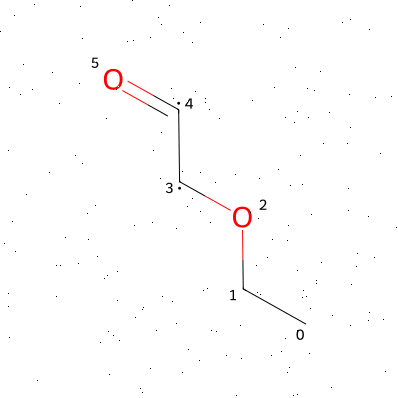 CCO[CH][C]=O